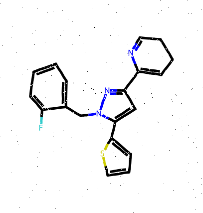 Fc1ccccc1Cn1nc(C2=CCCC=N2)cc1-c1cccs1